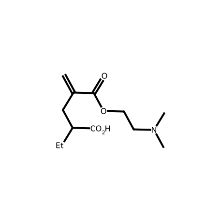 C=C(CC(CC)C(=O)O)C(=O)OCCN(C)C